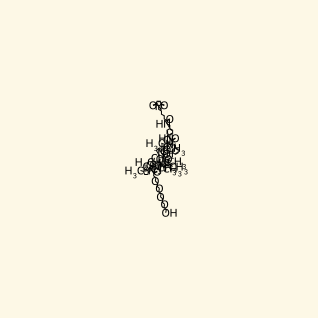 CC[C@H](C)[C@@H]([C@@H](CC(=O)N1CCC[C@H]1[C@H](OC)[C@@H](C)C(=O)N[C@@H](Cc1ccccc1)C(=O)Nc1ccc(CNC(=O)CCCCCN2C(=O)C=CC2=O)cc1)OC)N(C)C(=O)[C@@H](NC(=O)N(C(=O)CCOCCOCCOCCOCCO)C1CCC(C)[C@@H]1C)C(C)C